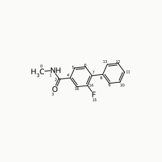 CNC(=O)c1ccc(-c2ccccc2)c(F)c1